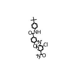 CN(C)C(=O)c1cnc(N(C)c2cc(C(=O)Nc3ccc(C(C)(C)C)cc3)ccc2Cl)c(Cl)c1